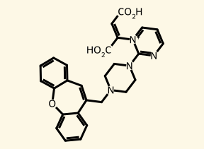 O=C(O)/C=C(/C(=O)O)[n+]1cccnc1N1CCN(CC2=Cc3ccccc3Oc3ccccc32)CC1